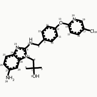 CC(C)(O)Cn1c(NCc2ccc(Oc3ccc(Cl)cn3)cc2)nc2ccc(N)cc21